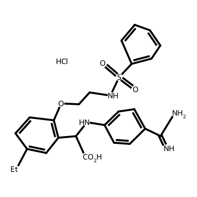 CCc1ccc(OCCNS(=O)(=O)c2ccccc2)c(C(Nc2ccc(C(=N)N)cc2)C(=O)O)c1.Cl